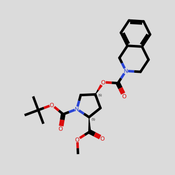 COC(=O)[C@@H]1C[C@H](OC(=O)N2CCc3ccccc3C2)CN1C(=O)OC(C)(C)C